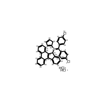 Cl.Cl.Clc1ccc([C](c2ccc(Cl)cc2)=[Zr]([C]2=CC=CC2)[CH]2c3ccccc3-c3c2c2ccccc2c2ccccc32)cc1